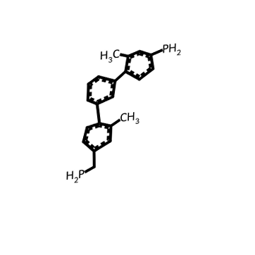 Cc1cc(P)ccc1-c1cccc(-c2ccc(CP)cc2C)c1